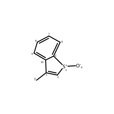 [CH2]c1c[s+]([O-])c2ccccc12